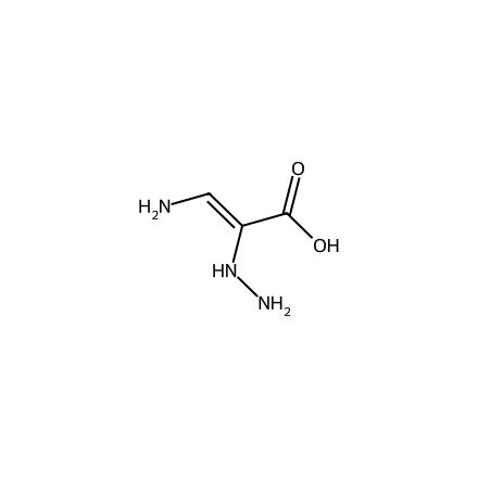 N/C=C(\NN)C(=O)O